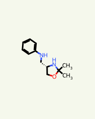 CC1(C)N[C@@H](CNc2ccccc2)CO1